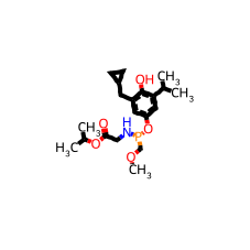 COCP(NCC(=O)OC(C)C)Oc1cc(CC2CC2)c(O)c(C(C)C)c1